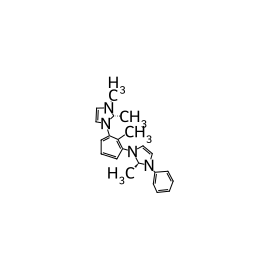 Cc1c(N2C=CN(c3ccccc3)[C@H]2C)cccc1N1C=CN(C)[C@@H]1C